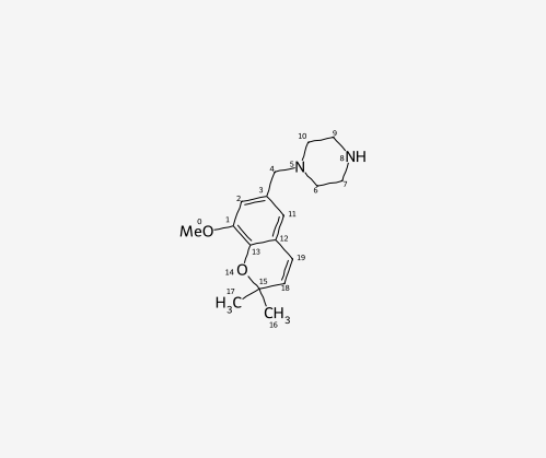 COc1cc(CN2CCNCC2)cc2c1OC(C)(C)C=C2